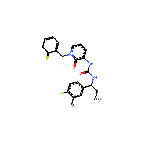 O=C(O)C[C@H](NC(=O)Nc1cccn(CC2=CC=CCC2=S)c1=O)c1ccc(F)c(C(F)(F)F)c1